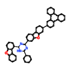 c1ccc(C2=NC(c3ccc4c(c3)oc3cc(-c5ccc6c7ccccc7c7ccccc7c6c5)ccc34)=NC(c3cccc4oc5ccccc5c34)N2)cc1